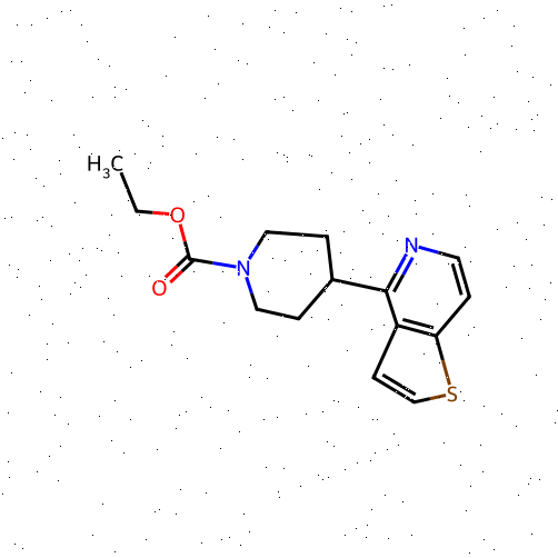 CCOC(=O)N1CCC(c2nccc3sccc23)CC1